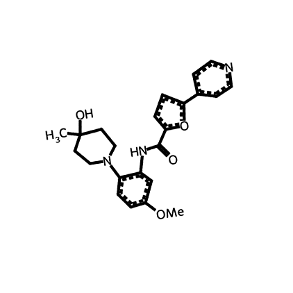 COc1ccc(N2CCC(C)(O)CC2)c(NC(=O)c2ccc(-c3ccncc3)o2)c1